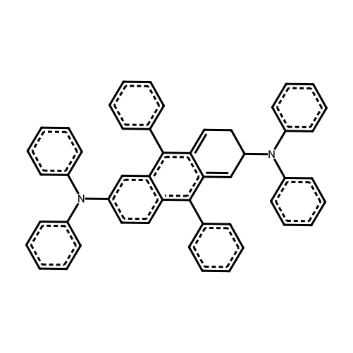 C1=c2c(-c3ccccc3)c3ccc(N(c4ccccc4)c4ccccc4)cc3c(-c3ccccc3)c2=CCC1N(c1ccccc1)c1ccccc1